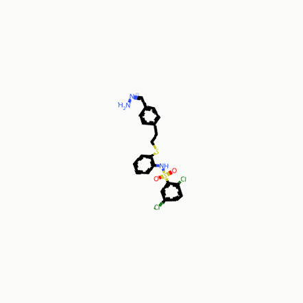 N/N=C\c1ccc(CCSc2ccccc2NS(=O)(=O)c2cc(Cl)ccc2Cl)cc1